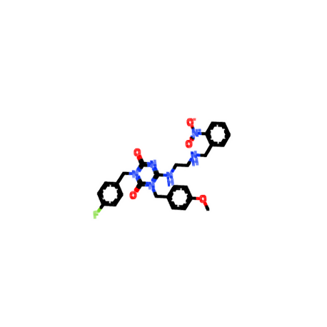 COc1ccc(Cn2c(NCCNCc3ccccc3[N+](=O)[O-])nc(=O)n(Cc3ccc(F)cc3)c2=O)cc1